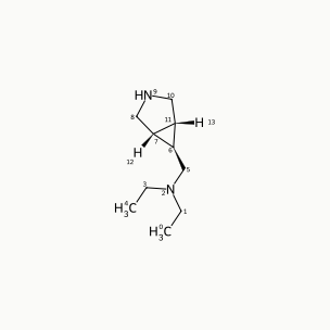 CCN(CC)C[C@H]1[C@@H]2CNC[C@@H]21